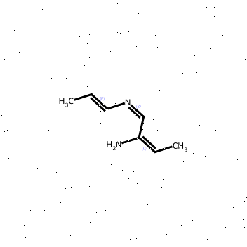 C/C=C/N=C\C(N)=C/C